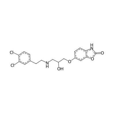 O=c1[nH]c2ccc(OCC(O)CNCCc3ccc(Cl)c(Cl)c3)cc2o1